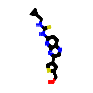 OCc1cc(-c2cnc3ccc(NC(=S)NCC4CC4)nc3n2)cs1